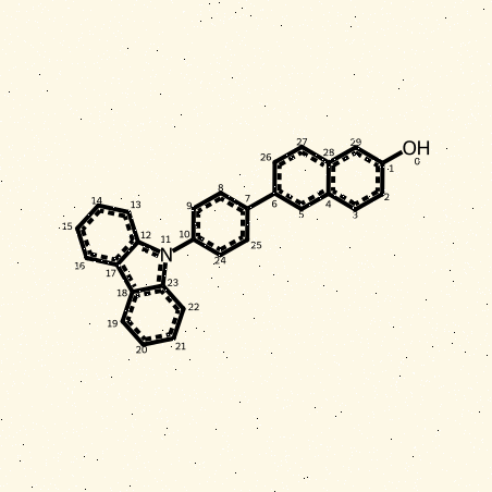 Oc1ccc2cc(-c3ccc(-n4c5ccccc5c5ccccc54)cc3)ccc2c1